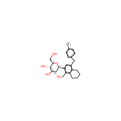 Cc1c([C@@H]2O[C@H](CO)[C@@H](O)[C@H](O)[C@H]2O)cc(Cc2ccc(C(F)(F)F)cc2)c2c1CCCC2